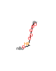 CCCCOCCCC(C)PCCCOCCOCCOCCOCC(=O)C(C)C